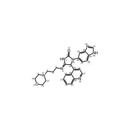 O=C1NC(=NCCCN2CCOCC2)C(c2ccnc3ccccc23)N1c1ccc2[nH]cnc2c1